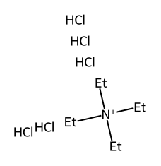 CC[N+](CC)(CC)CC.Cl.Cl.Cl.Cl.Cl